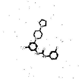 O=C(Nc1cccc(Cl)c1)Nc1cc(N2CCC(N3CCCC3)CC2)cc(C(F)(F)F)c1